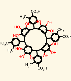 Cc1cc(C2c3cc(c(O)c(O)c3O)C(c3ccc(C(=O)O)c(C)c3)c3cc(c(O)c(O)c3O)C(c3ccc(C(=O)O)c(C)c3)c3cc(c(O)c(O)c3O)C(c3ccc(C(=O)O)c(C)c3)c3cc2c(O)c(O)c3O)ccc1C(=O)O